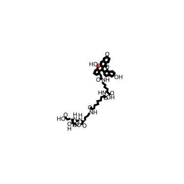 O=C(O)CC[C@H](NC(=O)N[C@@H](CCCCNC(=O)CCCCCCC(=O)NC(CCCCNC(=O)Cc1cccc(C(=O)O)c1-c1c2ccc3cc(O)ccc3c2oc2c1ccc1cc(=O)ccc12)C(=O)O)C(=O)O)C(=O)O